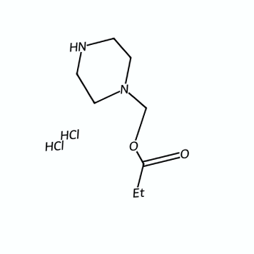 CCC(=O)OCN1CCNCC1.Cl.Cl